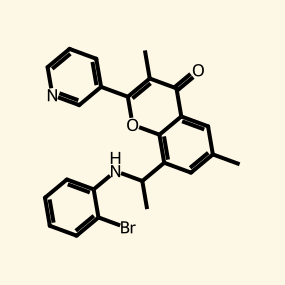 Cc1cc(C(C)Nc2ccccc2Br)c2oc(-c3cccnc3)c(C)c(=O)c2c1